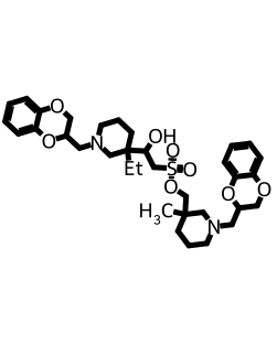 CCC1(C(O)CS(=O)(=O)OCC2(C)CCCN(CC3COc4ccccc4O3)C2)CCCN(CC2COc3ccccc3O2)C1